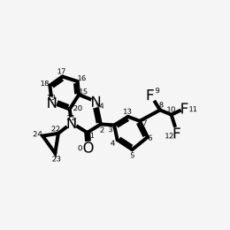 O=c1c(-c2cccc(C(F)C(F)F)c2)nc2cccnc2n1C1CC1